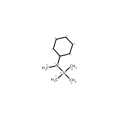 CN(C1CCCCC1)[Si](C)(C)C